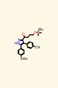 CSc1ccc(-c2[nH]nc(C(=O)CCCO[Si](C)(C)C(C)(C)C)c2-c2ccc(C#N)cc2)cc1